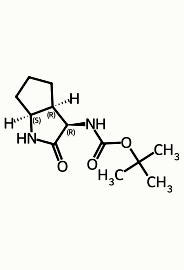 CC(C)(C)OC(=O)N[C@H]1C(=O)N[C@H]2CCC[C@H]21